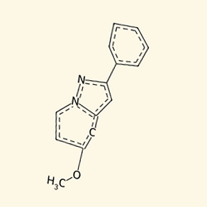 COc1ccn2nc(-c3ccccc3)cc2c1